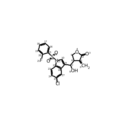 C=C1C(=O)OCC1C(O)c1cn(S(=O)(=O)c2ccccc2F)c2ccc(Cl)cc12